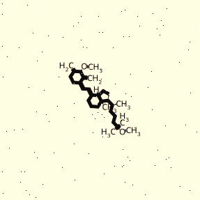 C=C1CC/C(=C/C=C2\CCC[C@]3(C)[C@@H]([C@H](C)CCCC(C)(C)OC)CC[C@@H]23)C(=C)[C@H]1OC